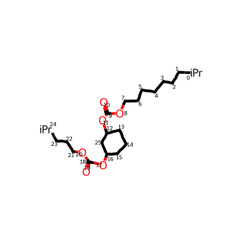 CC(C)CCCCCCCOC(=O)OC1CCCC(OC(=O)OCCCC(C)C)C1